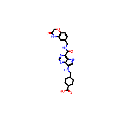 O=C1COc2ccc(CNC(=O)c3ncnc4c(NCC5CCC(C(=O)O)CC5)c[nH]c34)cc2N1